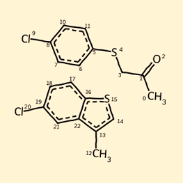 CC(=O)CSc1ccc(Cl)cc1.Cc1csc2ccc(Cl)cc12